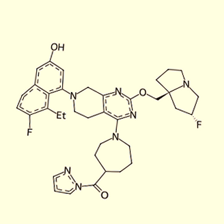 CCc1c(F)ccc2cc(O)cc(N3CCc4c(nc(OC[C@@]56CCCN5C[C@H](F)C6)nc4N4CCCC(C(=O)n5cccn5)CC4)C3)c12